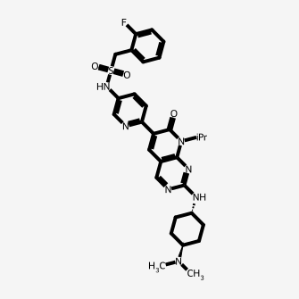 CC(C)n1c(=O)c(-c2ccc(NS(=O)(=O)Cc3ccccc3F)cn2)cc2cnc(N[C@H]3CC[C@H](N(C)C)CC3)nc21